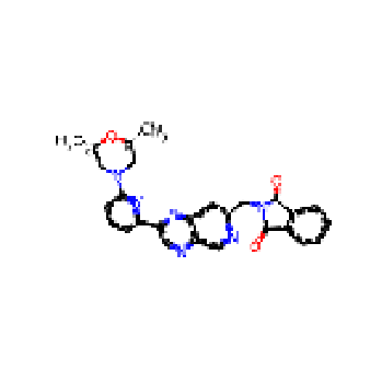 C[C@@H]1CN(c2cccc(-c3cnc4cnc(CN5C(=O)c6ccccc6C5=O)cc4n3)n2)C[C@H](C)O1